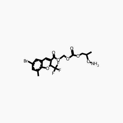 Cc1cc(Br)cc2c1OC(C(F)(F)F)C(C(=O)OCOC(=O)OCC(C)ON)=C2